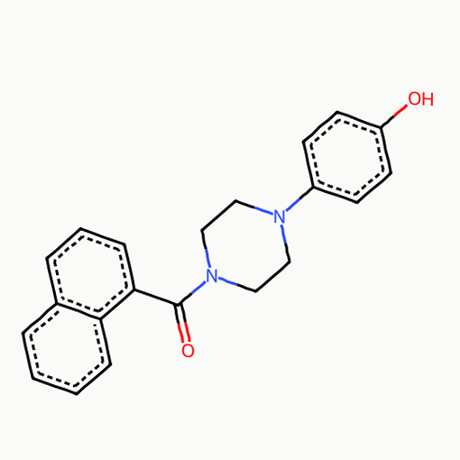 O=C(c1cccc2ccccc12)N1CCN(c2ccc(O)cc2)CC1